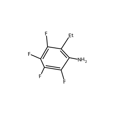 CCc1c(N)c(F)c(F)c(F)c1F